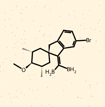 BC(B)=C1c2cc(Br)ccc2C[C@@]12C[C@@H](C)[C@H](OC)[C@@H](C)C2